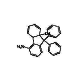 CC12C=CC=CC1c1c(N)cccc1C2(c1ccccc1)c1ccccc1